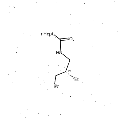 CCCCCCCC(=O)NC[C@H](CC)CC(C)C